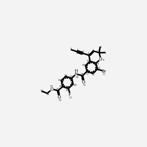 CC#CC1=CC(C)(C)Oc2c(Br)cc(C(=O)Nc3ccc(C(=O)OCC)c(F)c3)cc21